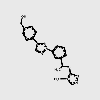 CC(Sc1nncn1C)c1cccc(-n2ncc(-c3ccc(CO)cc3)n2)c1